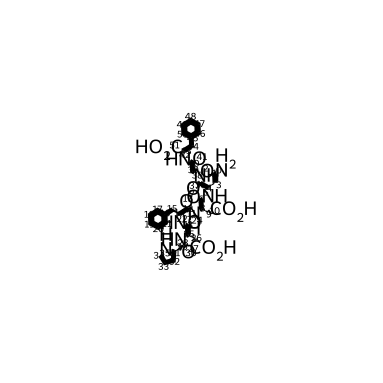 NC(=O)C[C@H](NC(=O)[C@H](CC(=O)O)NC(=O)[C@H](Cc1ccccc1)NC(=O)[C@H](CC(=O)O)NC(=O)[C@@H]1CCCN1)C(=O)NCC(=O)N[C@@H](Cc1ccccc1)C(=O)O